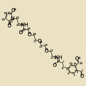 O=Cc1ccc(CCC(=O)NCCOCCOCCOCC(=O)NCCN2C(=O)C=CC2=O)cc1C=O